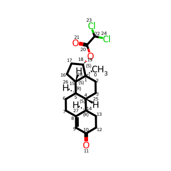 C[C@]12CC[C@H]3[C@@H](CCC4=CC(=O)CC[C@@H]43)[C@@H]1CC[C@@H]2OC(=O)C(Cl)Cl